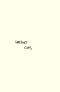 Cl.Cl.[CaH2].[La]